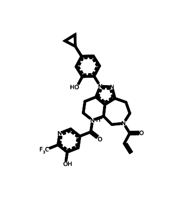 C=CC(=O)N1CCc2nn(-c3ccc(C4CC4)cc3O)c3c2[C@H](C1)N(C(=O)c1cnc(C(F)(F)F)c(O)c1)CC3